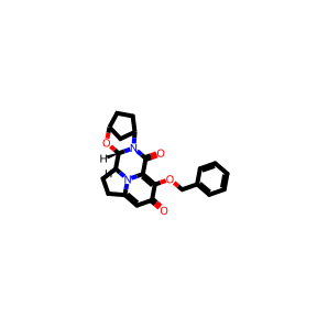 O=C1c2c(OCc3ccccc3)c(=O)cc3n2[C@H](CC3)[C@@H]2OC3CCC(C3)N12